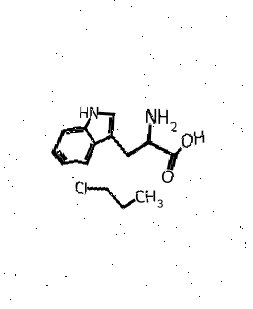 CCCCl.NC(Cc1c[nH]c2ccccc12)C(=O)O